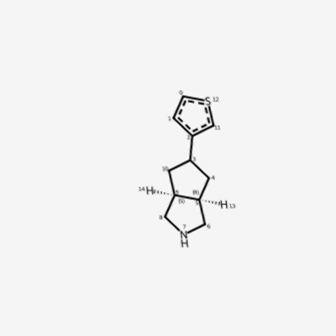 c1cc(C2C[C@H]3CNC[C@H]3C2)cs1